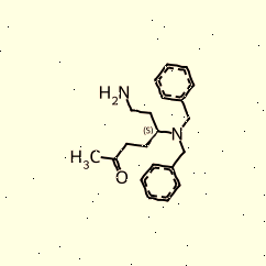 CC(=O)CC[C@@H](CCN)N(Cc1ccccc1)Cc1ccccc1